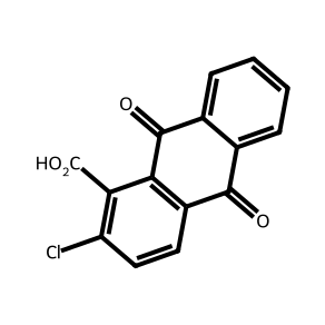 O=C1c2ccccc2C(=O)c2c1ccc(Cl)c2C(=O)O